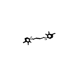 Cc1ccc(SCCCCSc2ccc(C)c(C)c2C)c(C)c1C